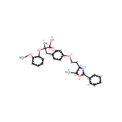 COc1ccccc1OC(C)(Cc1ccc(OCCc2nc(-c3ccccc3)oc2C)cc1)C(=O)O